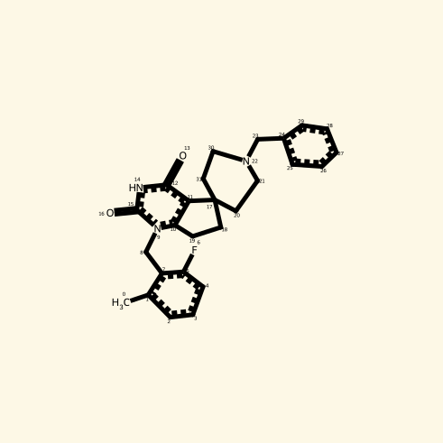 Cc1cccc(F)c1Cn1c2c(c(=O)[nH]c1=O)C1(CC2)CCN(Cc2ccccc2)CC1